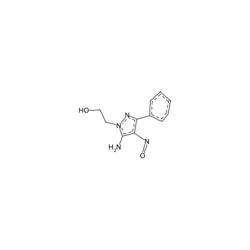 Nc1c(N=O)c(-c2ccccc2)nn1CCO